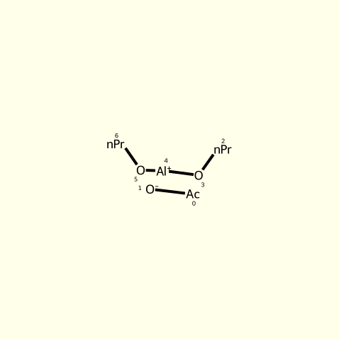 CC(=O)[O-].CCC[O][Al+][O]CCC